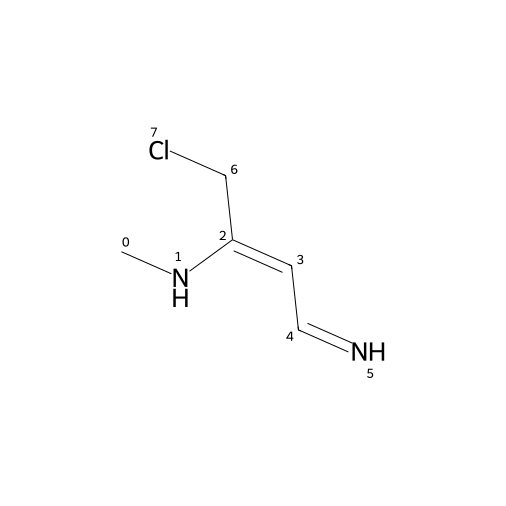 CN/C(=C\C=N)CCl